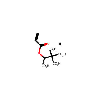 C=CC(=O)OC(C(=O)O)C(C(=O)O)(C(=O)O)C(=O)O.[Hf]